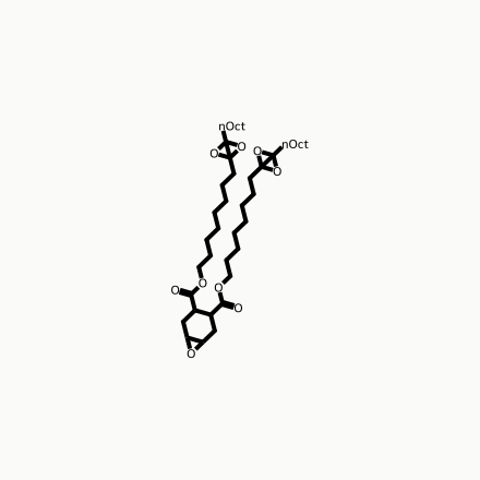 CCCCCCCCC12OC1(CCCCCCCCOC(=O)C1CC3OC3CC1C(=O)OCCCCCCCCC13OC1(CCCCCCCC)O3)O2